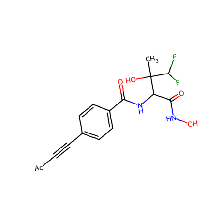 CC(=O)C#Cc1ccc(C(=O)NC(C(=O)NO)C(C)(O)C(F)F)cc1